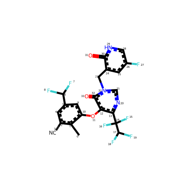 Cc1c(C#N)cc(C(F)F)cc1Oc1c(C(F)(F)C(F)F)ncn(Cc2cc(F)c[nH]c2=O)c1=O